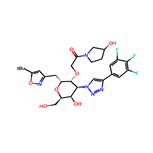 CC(C)(C)c1cc(C[C@H]2O[C@H](CO)[C@H](O)[C@H](n3cc(-c4cc(F)c(F)c(F)c4)nn3)[C@H]2OCC(=O)N2CCC(O)C2)no1